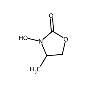 CC1COC(=O)N1O